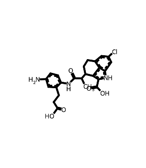 CC(C(=O)Nc1ccc(N)cc1CCC(=O)O)C1CCc2cc(Cl)cc3[nH]c(C(=O)O)c1c23